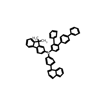 CC1(C)c2ccccc2-c2ccc(N(c3ccc(-c4cccc5ccccc45)cc3)c3ccc(-c4ccc(-c5ccccc5)cc4)c(-c4ccccc4)c3)cc21